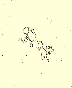 CCC(C)(O)C1=NCN([C@H]2COc3ccccc3N(C)C2=O)C=C1